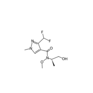 CON(C(=O)c1cn(C)nc1C(F)F)[C@H](C)CO